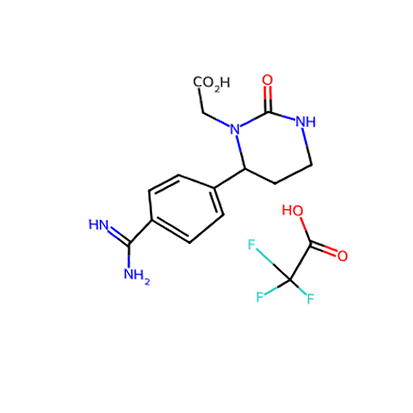 N=C(N)c1ccc(C2CCNC(=O)N2CC(=O)O)cc1.O=C(O)C(F)(F)F